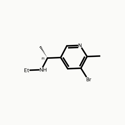 CCN[C@H](C)c1cnc(C)c(Br)c1